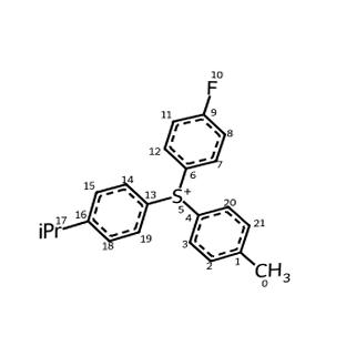 Cc1ccc([S+](c2ccc(F)cc2)c2ccc(C(C)C)cc2)cc1